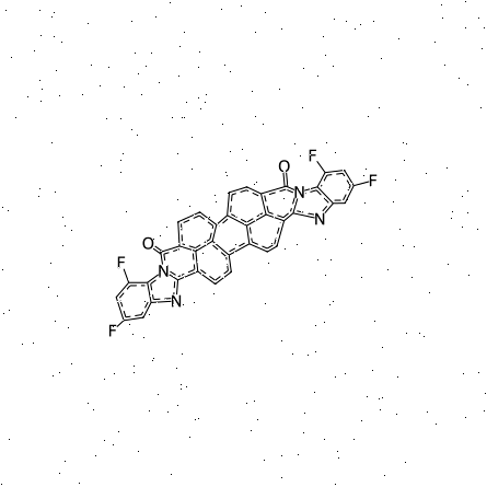 O=c1c2ccc3c4ccc5c(=O)n6c(nc7cc(F)cc(F)c76)c6ccc(c7ccc(c2c37)c2nc3cc(F)cc(F)c3n12)c4c56